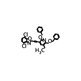 CCc1cc(C#Cc2nc3c(Cl)ccc(Cl)c3o2)c(OCc2ccccc2)nc1COCc1ccccc1